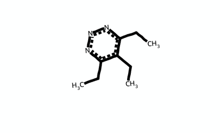 CCc1nnnc(CC)c1CC